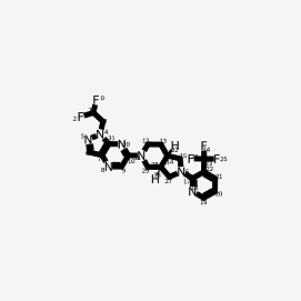 FC(F)Cn1ncc2ncc(N3CC[C@@H]4CN(c5ncccc5C(F)(F)F)C[C@H]4C3)nc21